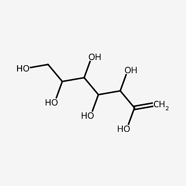 C=C(O)C(O)C(O)C(O)C(O)CO